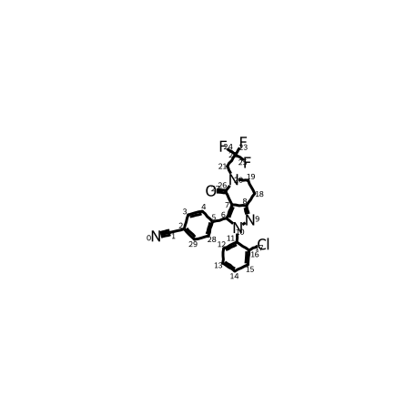 N#Cc1ccc(-c2c3c(nn2-c2ccccc2Cl)CCN(CC(F)(F)F)C3=O)cc1